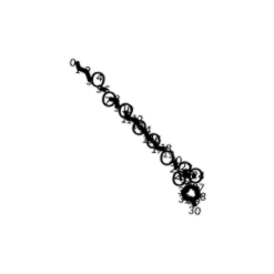 CCCCOCCOCCOCCOCCOCCOCCOS(=O)(=O)c1ccc(C)cc1